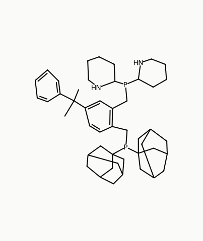 CC(C)(c1ccccc1)c1ccc(CP(C23CC4CC(CC(C4)C2)C3)C23CC4CC(CC(C4)C2)C3)c(CP(C2CCCCN2)C2CCCCN2)c1